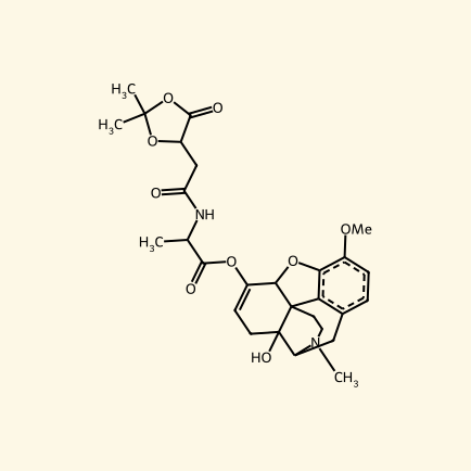 COc1ccc2c3c1OC1C(OC(=O)C(C)NC(=O)CC4OC(C)(C)OC4=O)=CCC4(O)C(C2)N(C)CCC314